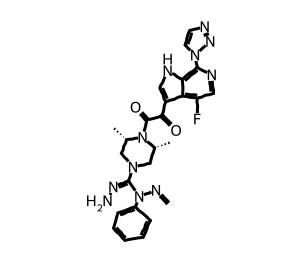 C=NN(/C(=N\N)N1C[C@@H](C)N(C(=O)C(=O)c2c[nH]c3c(-n4ccnn4)ncc(F)c23)[C@@H](C)C1)c1ccccc1